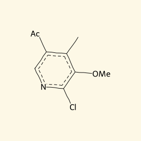 COc1c(Cl)ncc(C(C)=O)c1C